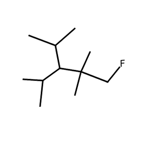 CC(C)C(C(C)C)C(C)(C)CF